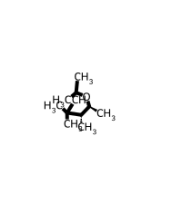 CC(C)O[C@@H](C)[C@H](C)C(C)(C)C